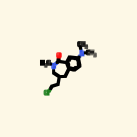 CN1CC(CCCl)Cc2ccc(N(C)C)cc2C1=O